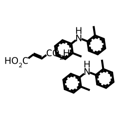 Cc1ccccc1Nc1ccccc1C.Cc1ccccc1Nc1ccccc1C.O=C(O)/C=C/C(=O)O